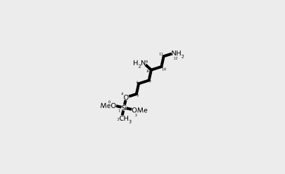 CO[Si](C)(OC)OCCCC(N)CCN